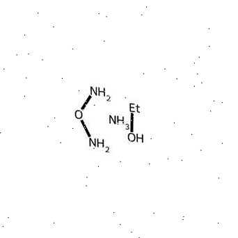 CCO.N.NON